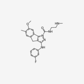 CNCCNC(=O)n1nc(Nc2cccc(F)c2)c2c1-c1cc(OC)c(C)cc1C2